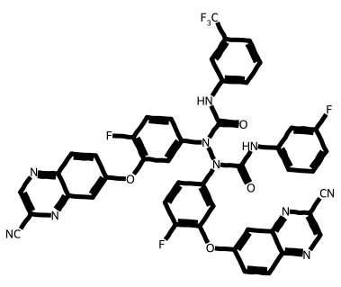 N#Cc1cnc2ccc(Oc3cc(N(C(=O)Nc4cccc(F)c4)N(C(=O)Nc4cccc(C(F)(F)F)c4)c4ccc(F)c(Oc5ccc6ncc(C#N)nc6c5)c4)ccc3F)cc2n1